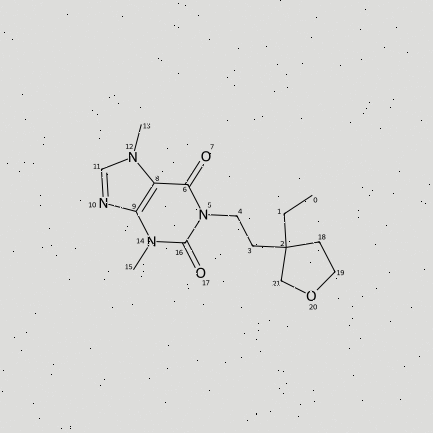 CCC1(CCn2c(=O)c3c(ncn3C)n(C)c2=O)CCOC1